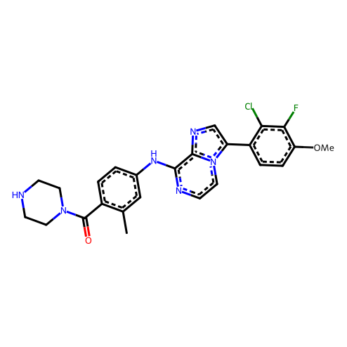 COc1ccc(-c2cnc3c(Nc4ccc(C(=O)N5CCNCC5)c(C)c4)nccn23)c(Cl)c1F